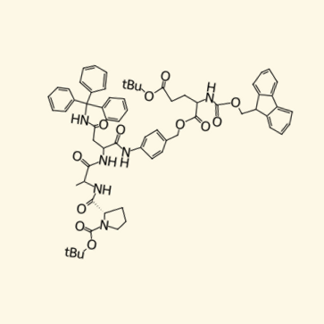 CC(NC(=O)[C@@H]1CCCN1C(=O)OC(C)(C)C)C(=O)NC(CC(=O)NC(c1ccccc1)(c1ccccc1)c1ccccc1)C(=O)Nc1ccc(COC(=O)C(CCC(=O)OC(C)(C)C)NC(=O)OCC2c3ccccc3-c3ccccc32)cc1